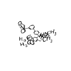 CNC(=O)N1N=C(c2ccc(-c3cccc(C(=O)N4CCOCC4)c3)cc2)c2cc(OC)c(OC)cc2CC1C